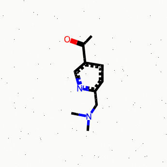 CC(=O)c1ccc(CN(C)C)nc1